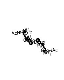 CC(=O)N[C@@H](CCCNC(=O)c1cnc2c(SSc3cccc4cc(C(=O)NCCC[C@@H](NC(C)=O)C(N)=O)cnc34)cccc2c1)C(N)=O